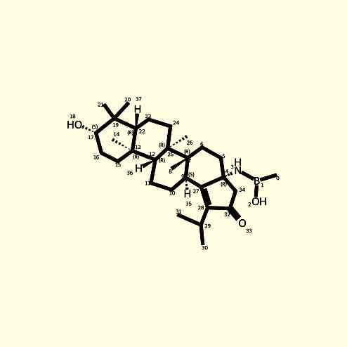 CB(O)N[C@@]12CC[C@]3(C)[C@H](CC[C@@H]4[C@@]5(C)CC[C@H](O)C(C)(C)[C@@H]5CC[C@]43C)C1=C(C(C)C)C(=O)C2